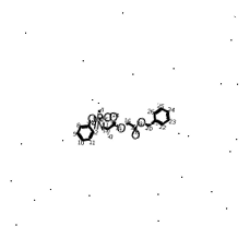 C[C@H](NP(C)(=O)Oc1ccccc1)C(=O)OCC(=O)OCc1ccccc1